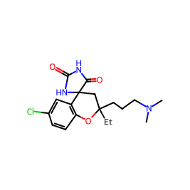 CCC1(CCCN(C)C)CC2(NC(=O)NC2=O)c2cc(Cl)ccc2O1